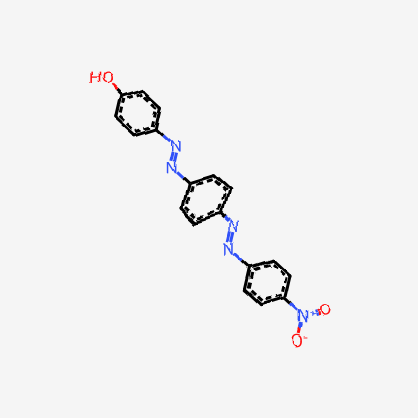 O=[N+]([O-])c1ccc(N=Nc2ccc(N=Nc3ccc(O)cc3)cc2)cc1